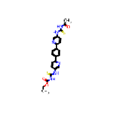 CCOC(=O)NC(=S)Nc1ccc(-c2ccc(-c3ccc(NC(=S)NC(C)=O)cn3)cc2)nc1